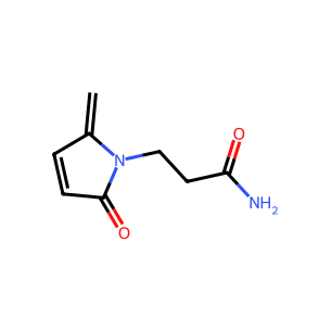 C=C1C=CC(=O)N1CCC(N)=O